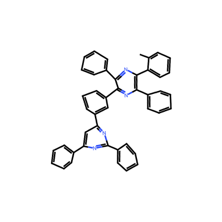 Cc1ccccc1-c1nc(-c2ccccc2)c(-c2cccc(-c3cc(-c4ccccc4)nc(-c4ccccc4)n3)c2)nc1-c1ccccc1